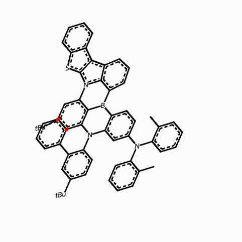 Cc1ccccc1N(c1ccc2c(c1)N(c1ccc(C(C)(C)C)cc1-c1ccccc1)c1cc(C(C)(C)C)cc3c1B2c1cccc2c4c5ccccc5sc4n-3c12)c1ccccc1C